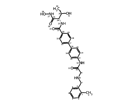 Cc1ccccc1CNCC(=O)Nc1ccc(-c2ccc(C(=O)N[C@H](C(=O)NO)[C@@H](C)O)cc2)cc1